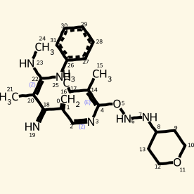 C=C(/C=N\C(ONNC1CCOCC1)=C(\C)CC)C(=N)/C(C)=C(/NC)Nc1ccccc1